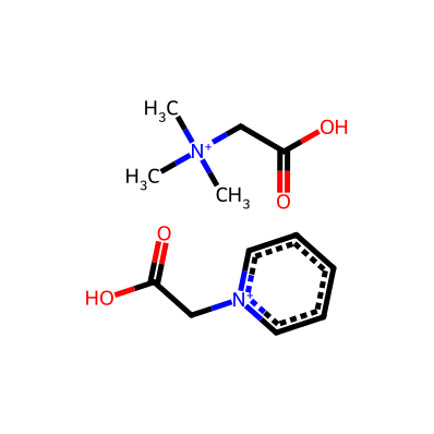 C[N+](C)(C)CC(=O)O.O=C(O)C[n+]1ccccc1